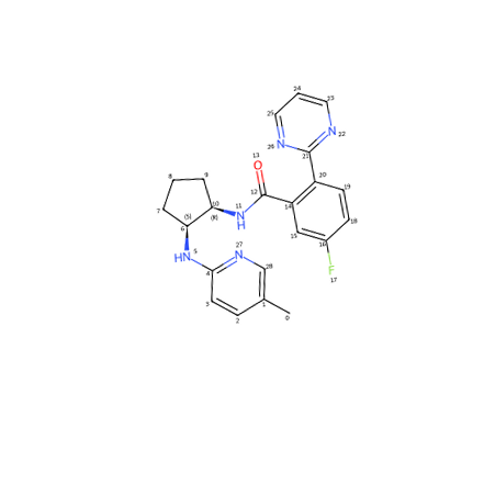 Cc1ccc(N[C@H]2CCC[C@H]2NC(=O)c2cc(F)ccc2-c2ncccn2)nc1